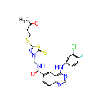 CC(=O)CCSc1nn(CNC(=O)c2ccc3ncnc(Nc4ccc(F)c(Cl)c4)c3c2)c(=S)s1